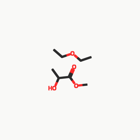 CCOCC.COC(=O)C(C)O